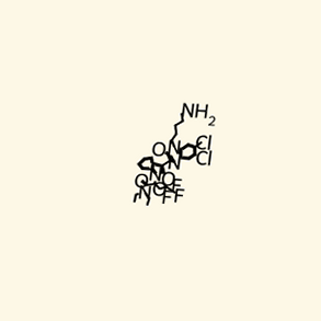 CCN(CC)C(=O)C(OC(=O)C(F)(F)F)n1cc(-c2nc3cc(Cl)c(Cl)cc3n(CCCCCN)c2=O)c2ccccc21